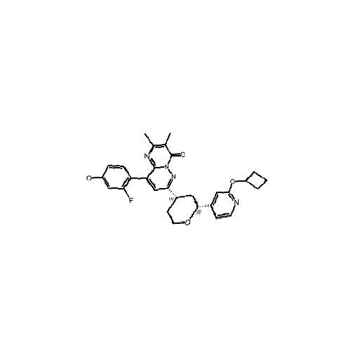 Cc1nc2c(-c3ccc(Cl)cc3F)cc([C@H]3CCO[C@@H](c4ccnc(OC5CCC5)c4)C3)nn2c(=O)c1C